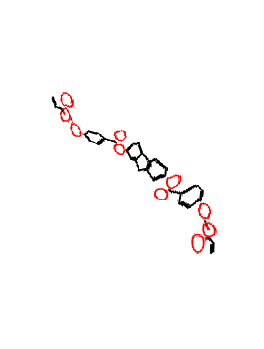 C=CC(=O)OCOc1ccc(C(=O)Oc2ccc3c(c2)Cc2cc(OC(=O)c4ccc(OCOC(=O)C=C)cc4)ccc2-3)cc1